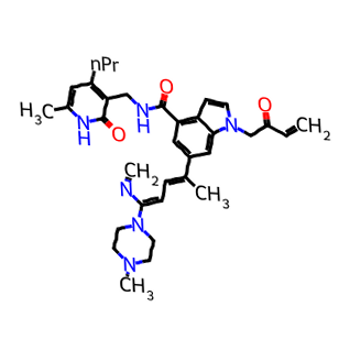 C=CC(=O)Cn1ccc2c(C(=O)NCc3c(CCC)cc(C)[nH]c3=O)cc(/C(C)=C/C=C(\N=C)N3CCN(C)CC3)cc21